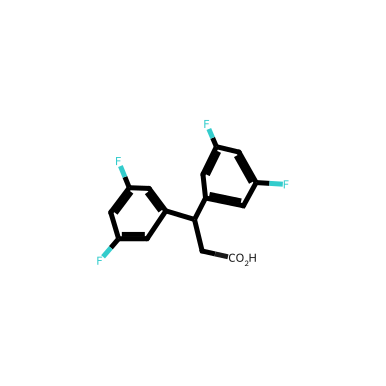 O=C(O)CC(c1cc(F)cc(F)c1)c1cc(F)cc(F)c1